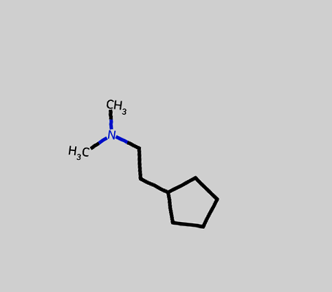 CN(C)CC[C]1CCCC1